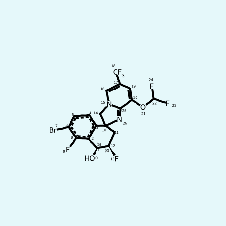 O[C@H]1c2c(ccc(Br)c2F)C2(C[C@H]1F)CN1C=C(C(F)(F)F)C=C(OC(F)F)C1=N2